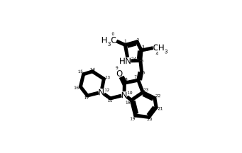 Cc1cc(C)c(/C=C2\C(=O)N(CN3CCCCC3)c3ccccc32)[nH]1